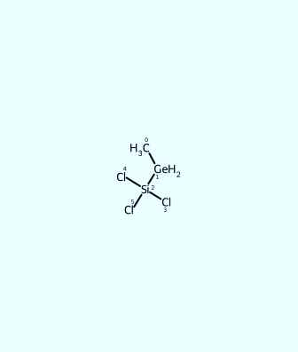 [CH3][GeH2][Si](Cl)(Cl)Cl